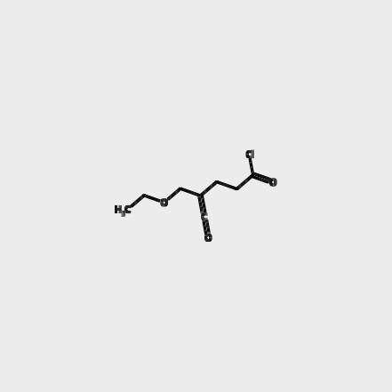 CCOCC(=C=O)CCC(=O)Cl